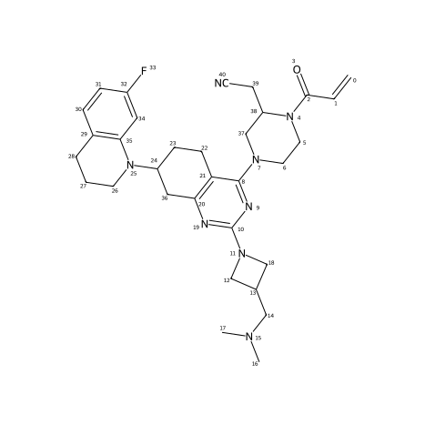 C=CC(=O)N1CCN(c2nc(N3CC(CN(C)C)C3)nc3c2CCC(N2CCCc4ccc(F)cc42)C3)CC1CC#N